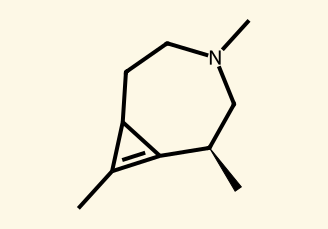 CC1=C2C1CCN(C)C[C@H]2C